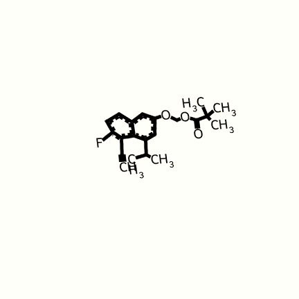 C#Cc1c(F)ccc2cc(OCOC(=O)C(C)(C)C)cc(C(C)C)c12